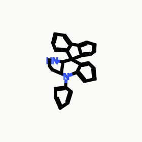 c1ccc(N2c3ccccc3C3(c4ccccc4-c4ccccc43)C3NCCCC32)cc1